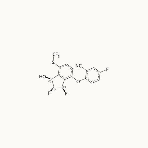 N#Cc1cc(F)ccc1Oc1ccc(SC(F)(F)F)c2c1[C@@H](F)[C@@H](F)[C@H]2O